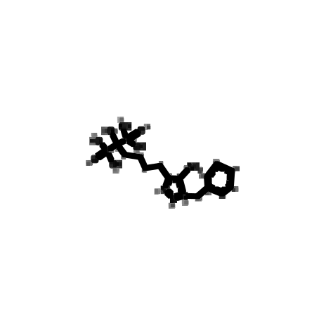 Nc1c(CCCCC(O)(P(=O)(O)O)P(=O)(O)O)nnn1Cc1ccccc1